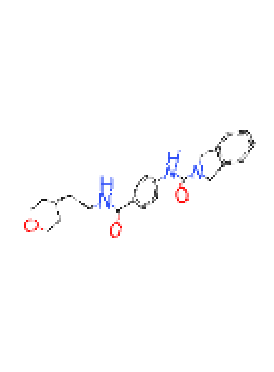 O=C(NCCC1CCOCC1)c1ccc(NC(=O)N2Cc3ccccc3C2)cc1